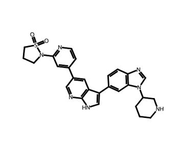 O=S1(=O)CCCN1c1cc(-c2cnc3[nH]cc(-c4ccc5ncn(C6CCCNC6)c5c4)c3c2)ccn1